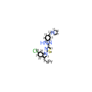 CC(C)Cc1cn(-c2nc(-c3nc4cc(CN5CCCC5)ccc4[nH]3)cs2)c2cc(Cl)ccc12